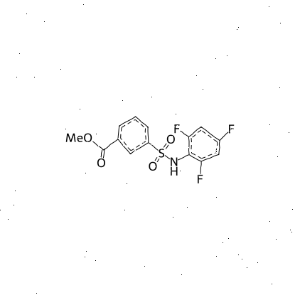 COC(=O)c1cccc(S(=O)(=O)Nc2c(F)cc(F)cc2F)c1